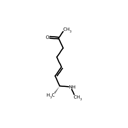 CN[C@H](C)/C=C/CCC(C)=O